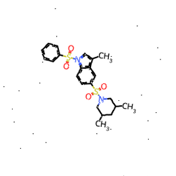 Cc1cn(S(=O)(=O)c2ccccc2)c2ccc(S(=O)(=O)N3CC(C)CC(C)C3)cc12